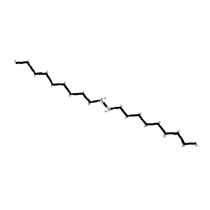 CCCCCCCCCSSCCCCCCCCC